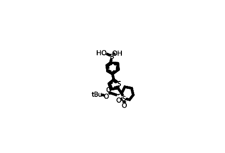 CC(C)(C)OC(=O)C[C@]1(c2ccc(-c3ccc(B(O)O)cc3)s2)CCCCS1(=O)=O